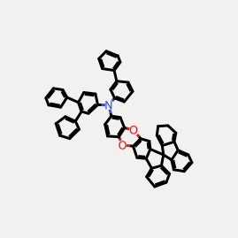 C1=C2C(=CCC1)C1(c3ccccc32)c2ccccc2-c2cc3c(cc21)Oc1cc(N(c2cccc(-c4ccccc4)c2)c2ccc(-c4ccccc4)c(-c4ccccc4)c2)ccc1O3